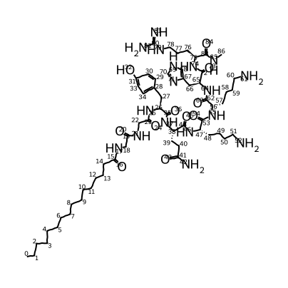 CCCCCCCCCCCCCCCC(=O)NCC(=O)NCC(=O)N[C@@H](Cc1ccc(O)cc1)C(=O)N[C@@H](CCC(N)=O)C(=O)N[C@@H](CCCCN)C(=O)N[C@@H](CCCCN)C(=O)N[C@@H](Cc1c[nH]cn1)C(=O)N[C@@H](CCCNC(=N)N)C(=O)NC